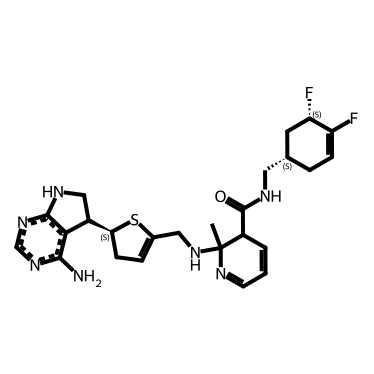 CC1(NCC2=CC[C@@H](C3CNc4ncnc(N)c43)S2)N=CC=CC1C(=O)NC[C@H]1CC=C(F)[C@@H](F)C1